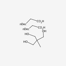 CC(CO)(CO)CO.CCCCCCCCCCCC(=O)O.CCCCCCCCCCCC(=O)O